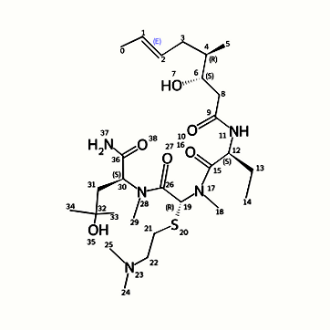 C/C=C/C[C@@H](C)[C@@H](O)CC(=O)N[C@@H](CC)C(=O)N(C)[C@H](SCCN(C)C)C(=O)N(C)[C@@H](CC(C)(C)O)C(N)=O